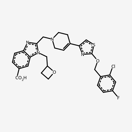 O=C(O)c1ccc2nc(CN3CC=C(c4csc(OCc5ccc(F)cc5Cl)n4)CC3)n(CC3CCO3)c2c1